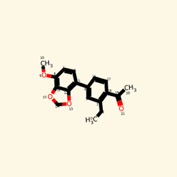 CCc1cc(-c2ccc(OC)c3c2OCO3)ccc1C(C)=O